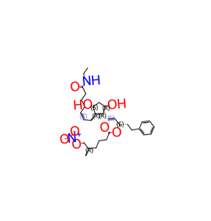 CCNC(=O)CCC/C=C\C[C@@H]1[C@@H](/C=C/[C@H](CCc2ccccc2)OC(=O)CCC[C@@H](C)CO[N+](=O)[O-])[C@H](O)C[C@@H]1O